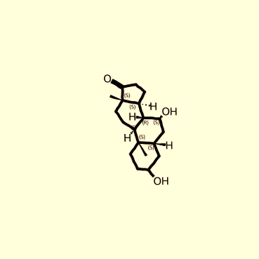 C[C@]12CCC(O)C[C@H]1C[C@H](O)[C@@H]1[C@@H]2CC[C@]2(C)C(=O)CC[C@@H]12